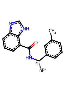 CCC[C@H](NC(=O)c1cccc2nc[nH]c12)c1cccc(C(F)(F)F)c1